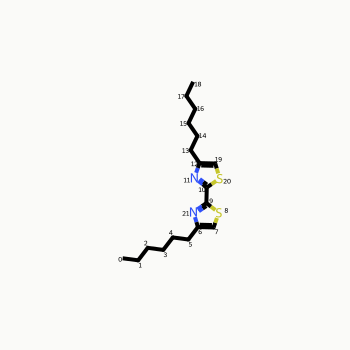 CCCCCCc1csc(-c2nc(CCCCCC)cs2)n1